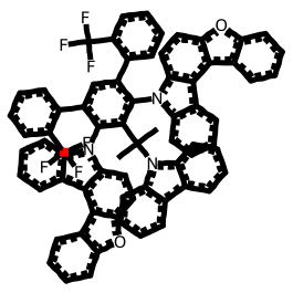 CC(C)(c1c(-n2c3ccccc3c3c4c(ccc32)oc2ccccc24)c(-c2ccccc2C(F)(F)F)cc(-c2ccccc2C(F)(F)F)c1-n1c2ccccc2c2c3c(ccc21)oc1ccccc13)n1c2ccccc2c2ccccc21